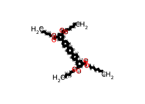 C=CCCCCCCOC(=O)c1cc(C(=O)OCCCCC=C)cc(-c2ccc(-c3ccc(-c4ccc(-c5cc(C(=O)OCCCCC=C)cc(C(=O)OCCCCC=C)c5)cc4)cc3)cc2)c1